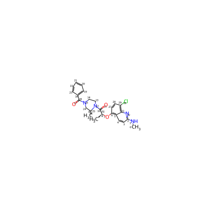 CNc1ccc2c(O[C@@H](C)C(=O)N3CCN(C(=O)c4ccccc4)C[C@H]3C)ccc(Cl)c2n1